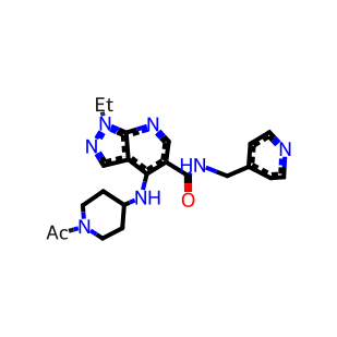 CCn1ncc2c(NC3CCN(C(C)=O)CC3)c(C(=O)NCc3ccncc3)cnc21